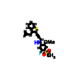 COc1cc(S(C)(=O)=O)c(F)cc1NCC#Cc1sc2ccccc2c1CC1CC1